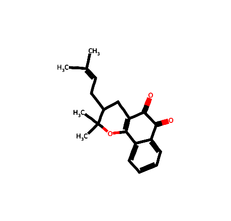 CC(C)=CCC1CC2=C(OC1(C)C)c1ccccc1C(=O)C2=O